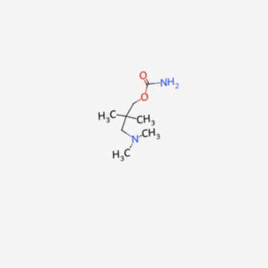 CN(C)CC(C)(C)COC(N)=O